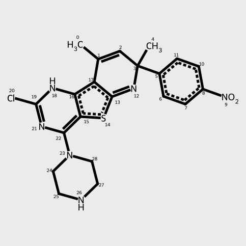 CC1=CC(C)(c2ccc([N+](=O)[O-])cc2)N=c2sc3c(c21)NC(Cl)=NC=3N1CCNCC1